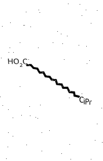 CC(C)CCCCCCCCCCCCCCCCCCCC(=O)O